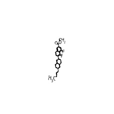 CCCCC1CCC2CC(c3ccc4cc(C(=O)OC)cc(F)c4c3F)CCC2C1